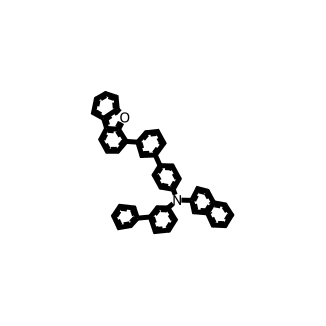 c1ccc(-c2cccc(N(c3ccc(-c4cccc(-c5cccc6c5oc5ccccc56)c4)cc3)c3ccc4ccccc4c3)c2)cc1